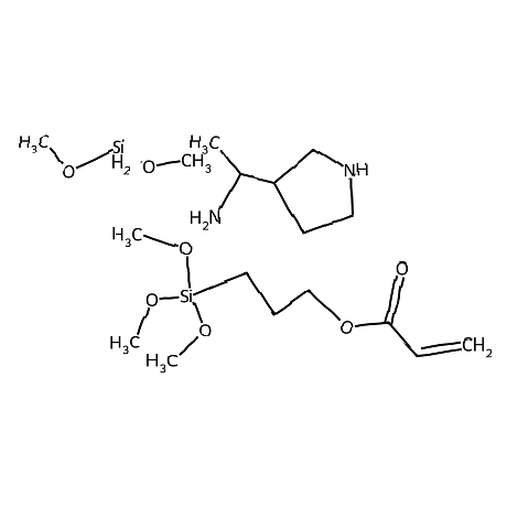 C=CC(=O)OCCC[Si](OC)(OC)OC.CC(N)C1CCNC1.CO[SiH2]OC